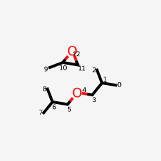 CC(C)COCC(C)C.CC1CO1